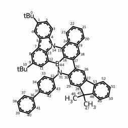 CC(C)(C)c1ccc2c(c1)c1cc(C(C)(C)C)cc3c1n2-c1c2c(cc4ccccc14)-c1cc4c(cc1N(c1ccc(-c5ccccc5)cc1)B23)C(C)(C)c1ccccc1-4